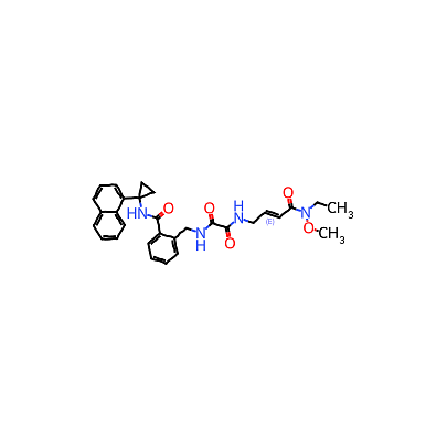 CCN(OC)C(=O)/C=C/CNC(=O)C(=O)NCc1ccccc1C(=O)NC1(c2cccc3ccccc23)CC1